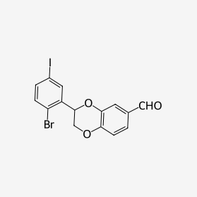 O=Cc1ccc2c(c1)OC(c1cc(I)ccc1Br)CO2